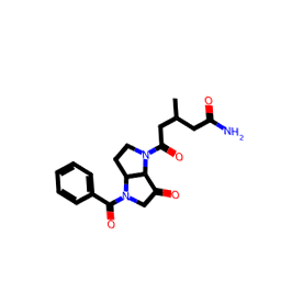 CC(CC(N)=O)CC(=O)N1CCC2C1C(=O)CN2C(=O)c1ccccc1